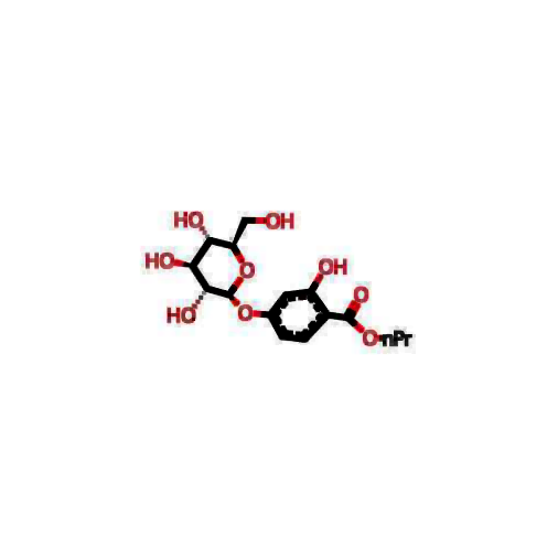 CCCOC(=O)c1ccc(O[C@@H]2O[C@H](CO)[C@@H](O)[C@H](O)[C@H]2O)cc1O